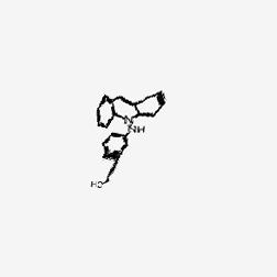 OCc1cccc(NN2C3=CC=CCC3=Cc3ccccc32)c1